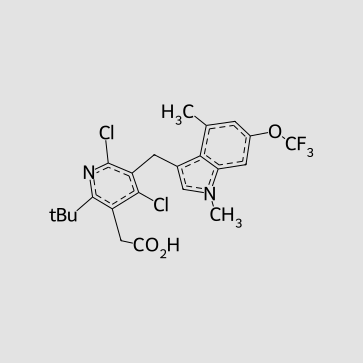 Cc1cc(OC(F)(F)F)cc2c1c(Cc1c(Cl)nc(C(C)(C)C)c(CC(=O)O)c1Cl)cn2C